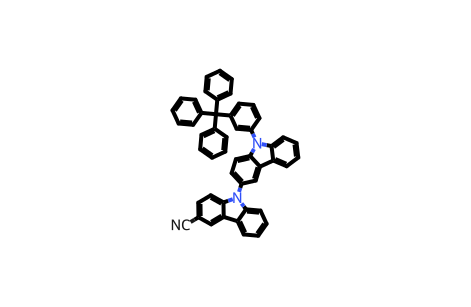 N#Cc1ccc2c(c1)c1ccccc1n2-c1ccc2c(c1)c1ccccc1n2-c1cccc(C(c2ccccc2)(c2ccccc2)c2ccccc2)c1